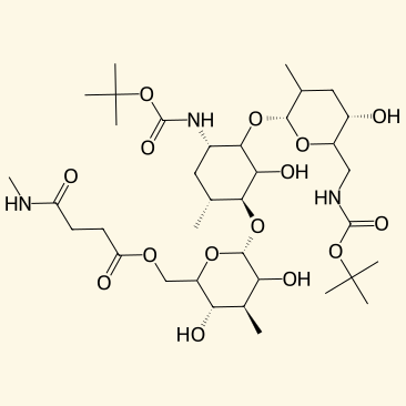 CNC(=O)CCC(=O)OCC1O[C@H](O[C@@H]2C(O)C(O[C@H]3OC(CNC(=O)OC(C)(C)C)[C@@H](O)CC3C)[C@@H](NC(=O)OC(C)(C)C)C[C@H]2C)C(O)[C@@H](C)[C@@H]1O